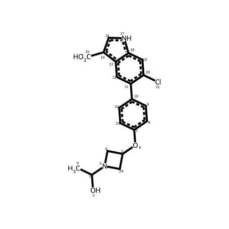 CC(O)N1CC(Oc2ccc(-c3cc4c(C(=O)O)c[nH]c4cc3Cl)cc2)C1